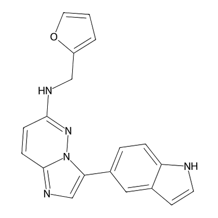 c1coc(CNc2ccc3ncc(-c4ccc5[nH]ccc5c4)n3n2)c1